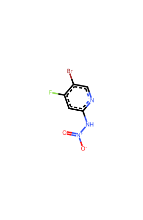 O=[N+]([O-])Nc1cc(F)c(Br)cn1